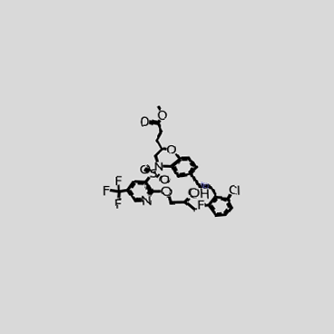 COC(=O)CCC1CN(S(=O)(=O)c2cc(C(F)(F)F)cnc2OCC(C)O)c2cc(/C=C/c3c(F)cccc3Cl)ccc2O1